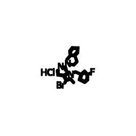 Cc1c(Br)c2ccnc(N3CCc4ccccc4C3)c2n1Cc1cccc(F)c1.Cl